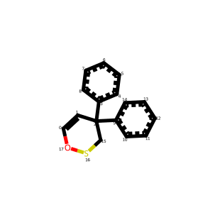 C1=CC(c2ccccc2)(c2ccccc2)CSO1